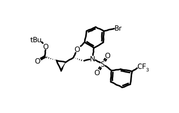 CC(C)(C)OC(=O)[C@H]1C[C@@H]1[C@H]1CN(S(=O)(=O)c2cccc(C(F)(F)F)c2)c2cc(Br)ccc2O1